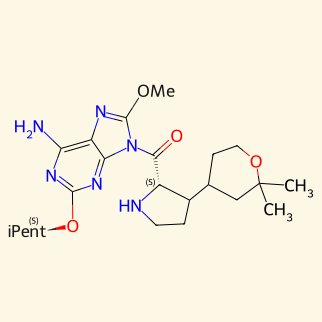 CCC[C@H](C)Oc1nc(N)c2nc(OC)n(C(=O)[C@H]3NCCC3C3CCOC(C)(C)C3)c2n1